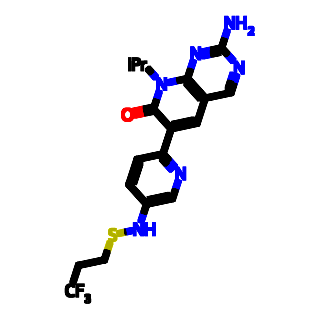 CC(C)n1c(=O)c(-c2ccc(NSCCC(F)(F)F)cn2)cc2cnc(N)nc21